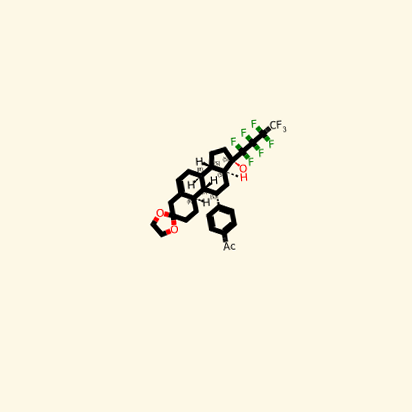 CC(=O)c1ccc([C@H]2C[C@@]3(C)[C@@H](CC[C@@]3(O)C(F)(F)C(F)(F)C(F)(F)C(F)(F)F)[C@@H]3CC=C4CC5(CC[C@@H]4[C@H]32)OCCO5)cc1